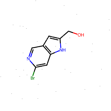 OCc1cc2cnc(Br)cc2[nH]1